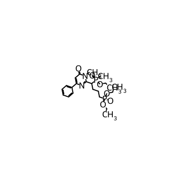 CCOP(=O)(CCCC(c1nc(-c2ccccc2)cc(=O)n1C)P(C)(=O)OCC)OCC